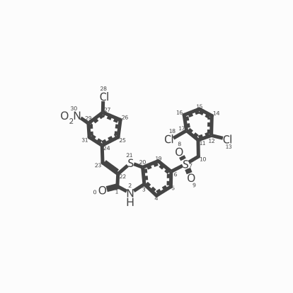 O=C1Nc2ccc(S(=O)(=O)Cc3c(Cl)cccc3Cl)cc2SC1=Cc1ccc(Cl)c([N+](=O)[O-])c1